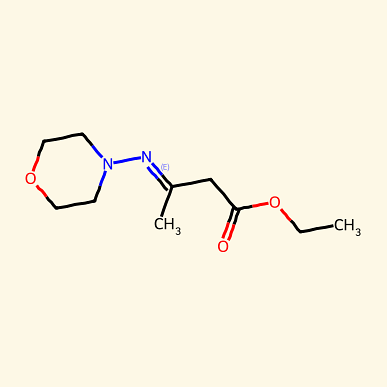 CCOC(=O)C/C(C)=N/N1CCOCC1